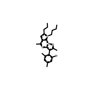 CCCCn1c(CCC)cc2c(C)nc3c(-c4c(C)cc(C)cc4Br)c(C)nn3c21